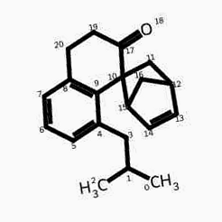 CC(C)Cc1cccc2c1C1(CC3C=CC1C3)C(=O)CC2